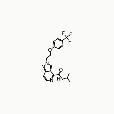 CC(C)NC(=O)c1nccc2nn(CCOc3ccc(C(F)(F)F)cc3)cc12